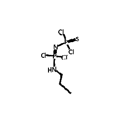 CCCNP(Cl)(Cl)=NP(=S)(Cl)Cl